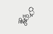 CC1(C)C(=O)NC(=O)N1CC(O)CN1CCc2ccccc2C1